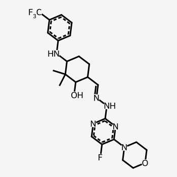 CC1(C)C(Nc2cccc(C(F)(F)F)c2)CCC(/C=N/Nc2ncc(F)c(N3CCOCC3)n2)C1O